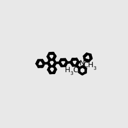 CC12CCCCC1(C)N(c1ccccc1)c1ccc(-c3ccc(-c4c5ccccc5c(-c5ccccc5)c5ccccc45)cc3)cc12